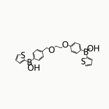 OB(c1ccc(COCCOc2ccc(B(O)c3cccs3)cc2)cc1)c1cccs1